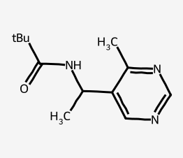 Cc1ncncc1C(C)NC(=O)C(C)(C)C